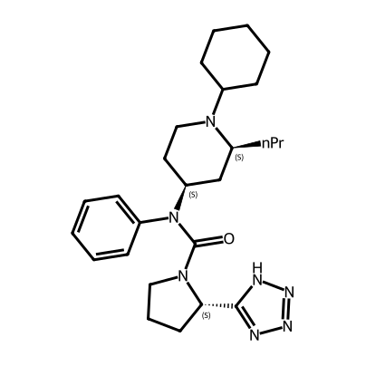 CCC[C@H]1C[C@@H](N(C(=O)N2CCC[C@H]2c2nnn[nH]2)c2ccccc2)CCN1C1CCCCC1